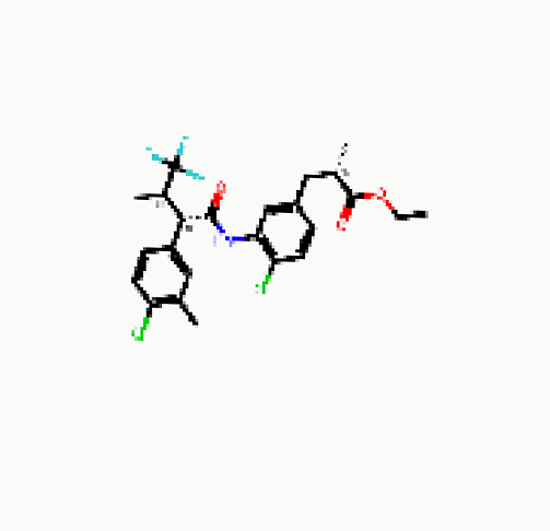 CCOC(=O)[C@@H](C)Cc1ccc(Cl)c(NC(=O)[C@H](c2ccc(Cl)c(C)c2)[C@@H](C)C(F)(F)F)c1